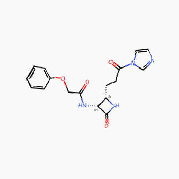 O=C(COc1ccccc1)N[C@H]1C(=O)N[C@H]1CCC(=O)n1ccnc1